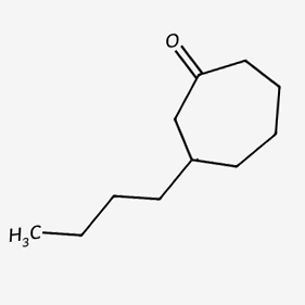 CCCC[C]1CCCCC(=O)C1